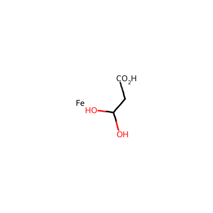 O=C(O)CC(O)O.[Fe]